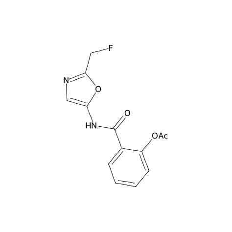 CC(=O)Oc1ccccc1C(=O)Nc1cnc(CF)o1